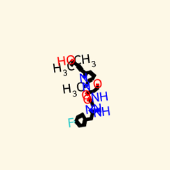 CN1C(=O)C(NC(=O)c2n[nH]c(Cc3ccc(F)cc3)n2)COc2ccc(C#CC(C)(C)O)nc21